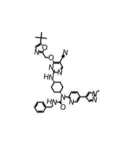 Cn1cc(-c2ccc(N(C(=O)NCc3ccccc3)[C@H]3CC[C@H](Nc4ncc(C#N)c(OCc5ncc(C(C)(C)C)o5)n4)CC3)nc2)cn1